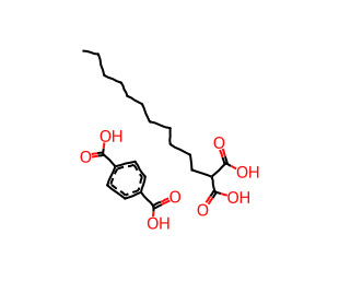 CCCCCCCCCCCC(C(=O)O)C(=O)O.O=C(O)c1ccc(C(=O)O)cc1